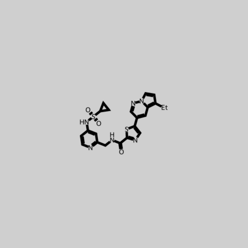 CCc1ccn2ncc(-c3cnc(C(=O)NCc4cc(NS(=O)(=O)C5CC5)ccn4)s3)cc12